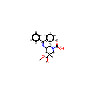 COC(=O)C1(C)CC(N=C(c2ccccc2)c2ccccc2)CN(C(=O)O)C1